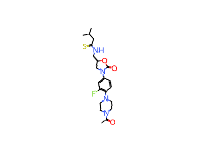 CC(=O)N1CCN(c2ccc(N3CC(CNC(=S)CC(C)C)OC3=O)cc2F)CC1